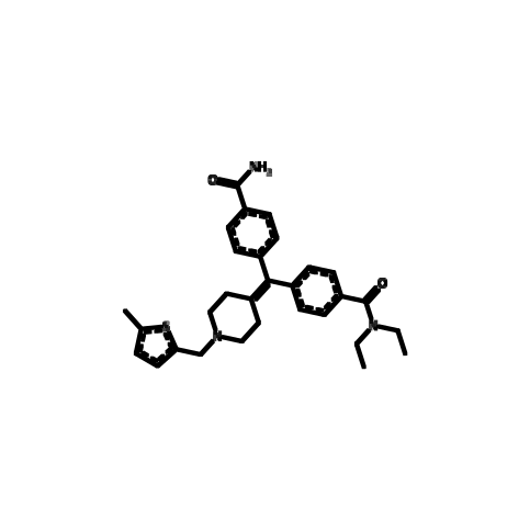 CCN(CC)C(=O)c1ccc(C(=C2CCN(Cc3ccc(C)s3)CC2)c2ccc(C(N)=O)cc2)cc1